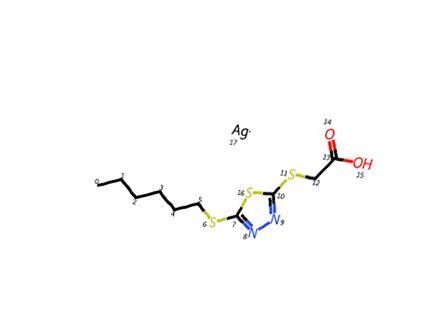 CCCCCCSc1nnc(SCC(=O)O)s1.[Ag]